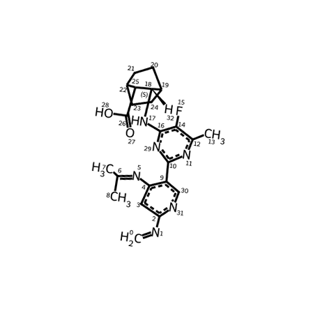 C=Nc1cc(N=C(C)C)c(-c2nc(C)c(F)c(N[C@H]3C4CCC(CC4)C3C(=O)O)n2)cn1